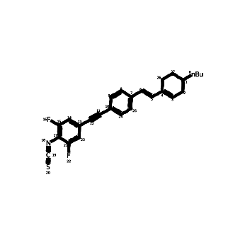 CCCCC1CC=C(/C=C/c2ccc(C#Cc3cc(F)c(N=C=S)c(F)c3)cc2)CC1